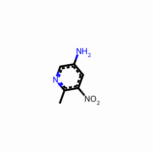 Cc1ncc(N)cc1[N+](=O)[O-]